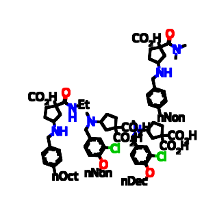 CCCCCCCCCCOc1ccc(CN(C)C2CCC(C(=O)O)(C(=O)O)C2)cc1Cl.CCCCCCCCCOc1ccc(CN(C)C2CCC(C(=O)O)(C(=O)O)C2)cc1Cl.CCCCCCCCCc1ccc(CNC2CCC(C(=O)O)(C(=O)N(C)C)C2)cc1.CCCCCCCCc1ccc(CNC2CCC(C(=O)O)(C(=O)NCC)C2)cc1